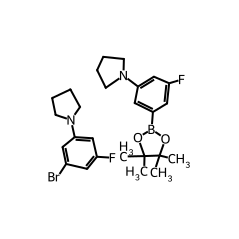 CC1(C)OB(c2cc(F)cc(N3CCCC3)c2)OC1(C)C.Fc1cc(Br)cc(N2CCCC2)c1